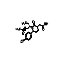 CC[C@@H](CNC(C)=O)N1C(=O)[C@@H](CC(=O)O)CC[C@H]1c1ccc(Cl)cc1